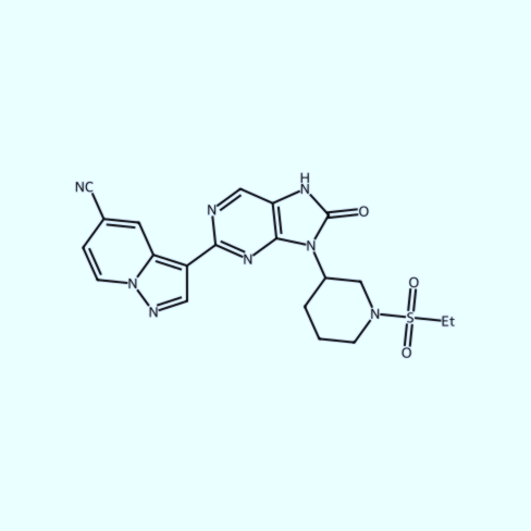 CCS(=O)(=O)N1CCCC(n2c(=O)[nH]c3cnc(-c4cnn5ccc(C#N)cc45)nc32)C1